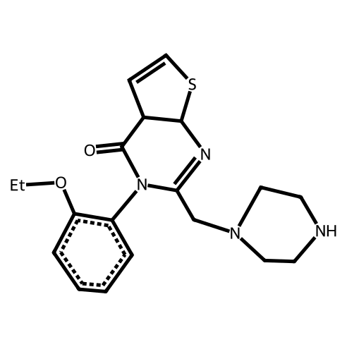 CCOc1ccccc1N1C(=O)C2C=CSC2N=C1CN1CCNCC1